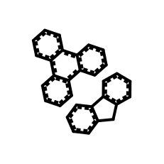 c1ccc2c(c1)Cc1ccccc1-2.c1ccc2c(c1)c1ccccc1c1ccccc21